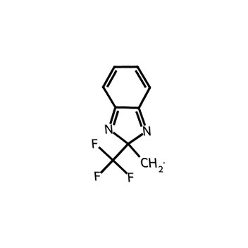 [CH2]C1(C(F)(F)F)N=c2ccccc2=N1